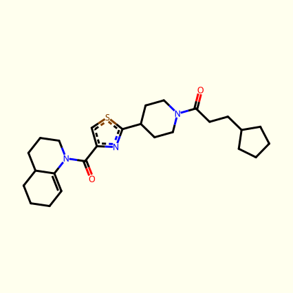 O=C(CCC1CCCC1)N1CCC(c2nc(C(=O)N3CCCC4CCCC=C43)cs2)CC1